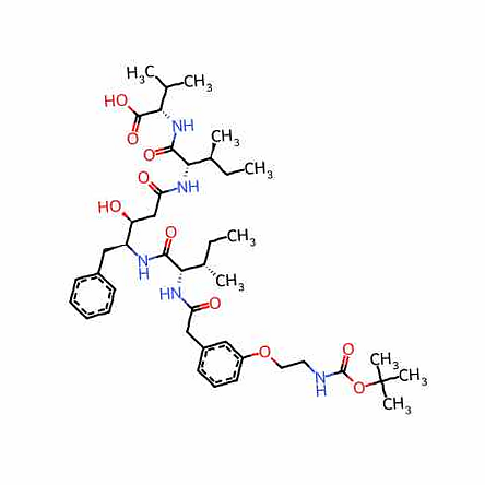 CC[C@H](C)[C@H](NC(=O)C[C@H](O)[C@H](Cc1ccccc1)NC(=O)[C@@H](NC(=O)Cc1cccc(OCCNC(=O)OC(C)(C)C)c1)[C@@H](C)CC)C(=O)N[C@H](C(=O)O)C(C)C